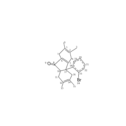 CC1=C(C)CC2=C(C1)C(=O)C1CC(C)=C(C)CC21c1ccccc1Br